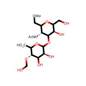 COCC1OC(CO)[C@@H](O)C(OC2OC(C(=O)O)[C@@H](OCO)C(O)[C@@H]2O)[C@@H]1NC(C)=O